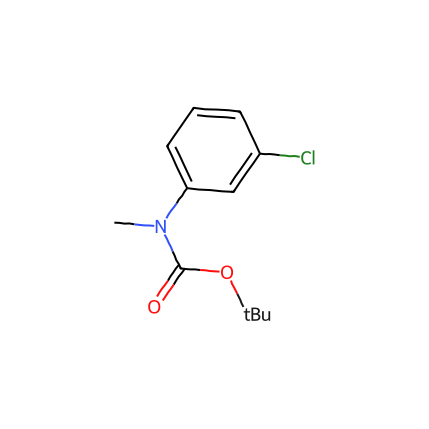 CN(C(=O)OC(C)(C)C)c1cccc(Cl)c1